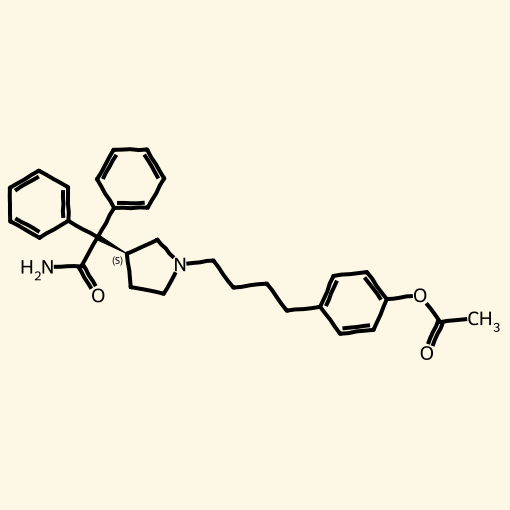 CC(=O)Oc1ccc(CCCCN2CC[C@@H](C(C(N)=O)(c3ccccc3)c3ccccc3)C2)cc1